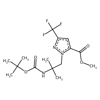 COC(=O)c1cc(C(F)(F)F)nn1CC(C)(C)NC(=O)OC(C)(C)C